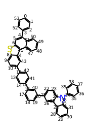 c1ccc(-c2cc3sc4ccc(-c5ccc(-c6cccc(-c7ccc8c(c7)c7ccccc7n8-c7ccccc7)c6)cc5)cc4c3c3ccccc23)cc1